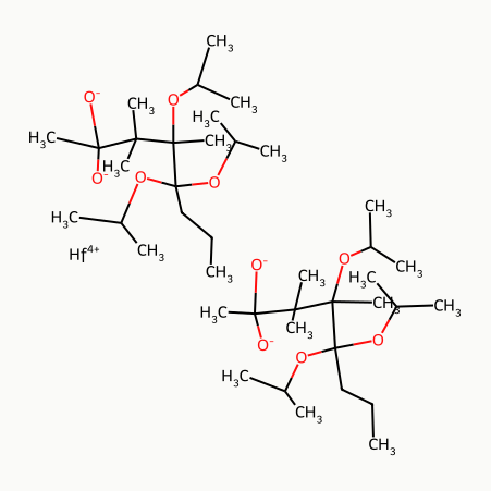 CCCC(OC(C)C)(OC(C)C)C(C)(OC(C)C)C(C)(C)C(C)([O-])[O-].CCCC(OC(C)C)(OC(C)C)C(C)(OC(C)C)C(C)(C)C(C)([O-])[O-].[Hf+4]